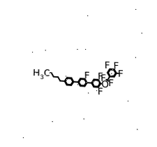 CCCCCc1ccc(-c2ccc(-c3cc(F)c(OC(F)(F)c4cc(F)c(F)c(F)c4)c(F)c3)c(F)c2)cc1